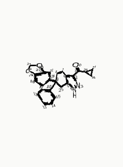 O=C(c1n[nH]c2c1C=CC(c1ccccc1)(c1ccc3c(c1)OCO3)C2)C1CC1